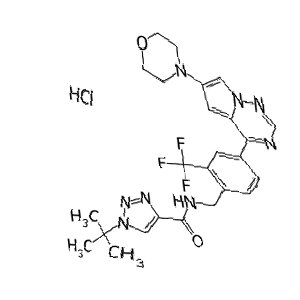 CC(C)(C)n1cc(C(=O)NCc2ccc(-c3ncnn4cc(N5CCOCC5)cc34)cc2C(F)(F)F)nn1.Cl